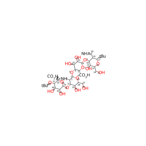 CC(=O)NC1C(OC2C(C(=O)O)OC(OC3C(O)C(CO)OC(C(C)(C)C)C3NC(C)=O)C(O)C2O)OC(CO)C(O)C1OC1OC(C(=O)O)C(OC(C)(C)C)C(O)C1O